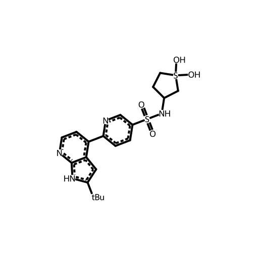 CC(C)(C)c1cc2c(-c3ccc(S(=O)(=O)NC4CCS(O)(O)C4)cn3)ccnc2[nH]1